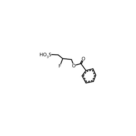 O=C(OCC(F)CS(=O)(=O)O)c1ccccc1